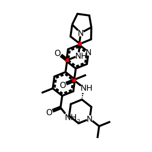 Cc1cc(C(=O)NC2CC3CCC(C2)N3c2ccc(C(=O)N[C@H]3CCCN(C(C)C)C3)cn2)c(C)cc1C(N)=O